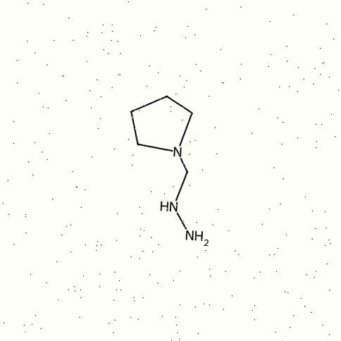 NNCN1CCCC1